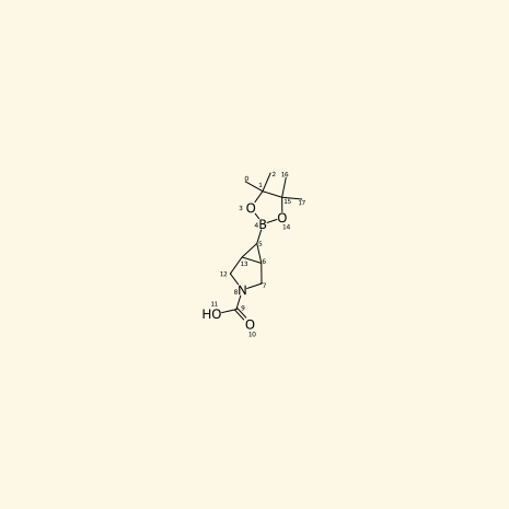 CC1(C)OB(C2C3CN(C(=O)O)CC32)OC1(C)C